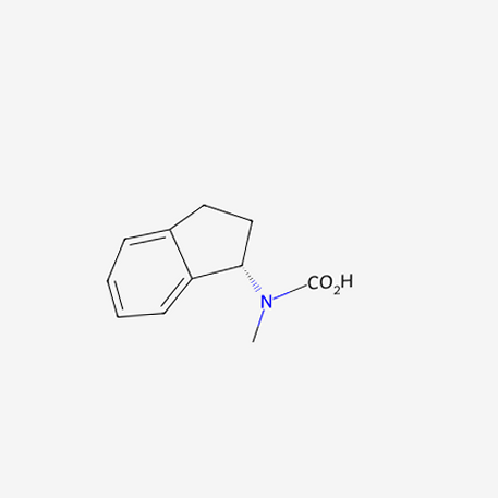 CN(C(=O)O)[C@H]1CCc2ccccc21